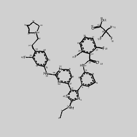 CCNc1nc(-c2cccc(NC(=O)c3c(F)cccc3F)c2)c(-c2ccnc(Nc3ccc(CCN4CCCC4)c(F)c3)n2)s1.O=C(O)C(F)(F)F